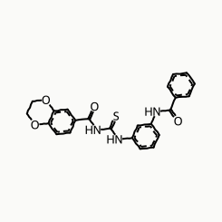 O=C(NC(=S)Nc1cccc(NC(=O)c2ccccc2)c1)c1ccc2c(c1)OCCO2